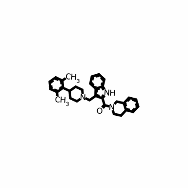 Cc1cccc(C)c1C1CCN(Cc2c(C(=O)N3CCc4ccccc4C3)[nH]c3ccccc23)CC1